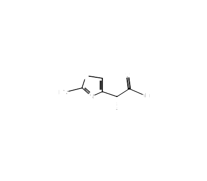 CC(C)C(=O)[C@H](C)c1csc(N)n1